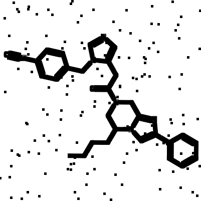 [C-]#[N+]c1ccc(Cn2cncc2CC(=O)N2Cc3nc(-c4ccccc4)cn3C(CCCC)C2)cc1